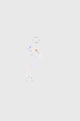 CC(C)(C)OC(=O)N1C[C@@H](NC(=O)COc2ccc(Cl)c(F)c2)CC[C@@H]1c1nnc(-c2ccc(Cl)cc2)o1